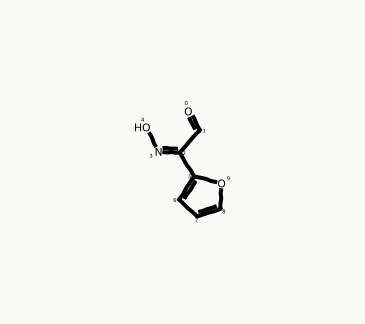 O=[C]C(=NO)c1ccco1